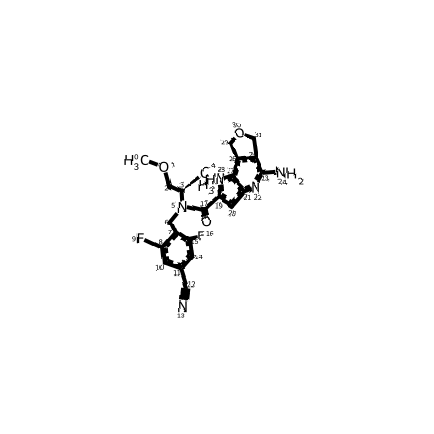 COC[C@@H](C)N(Cc1c(F)cc(C#N)cc1F)C(=O)c1cc2nc(N)c3c(c2[nH]1)COC3